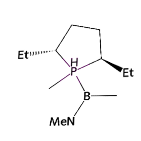 CC[C@@H]1CC[C@@H](CC)[PH]1(C)B(C)NC